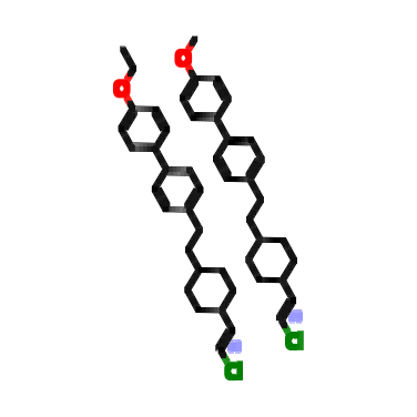 CCOc1ccc(-c2ccc(CCC3CCC(/C=C/Cl)CC3)cc2)cc1.COc1ccc(-c2ccc(CCC3CCC(/C=C/Cl)CC3)cc2)cc1